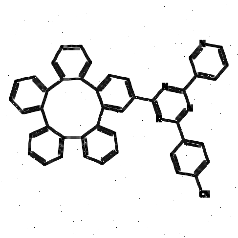 N#Cc1ccc(-c2nc(-c3cccnc3)nc(-c3ccc4c5ccccc5c5ccccc5c5ccccc5c5ccccc5c4c3)n2)cc1